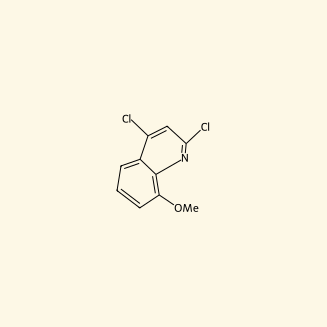 COc1cccc2c(Cl)cc(Cl)nc12